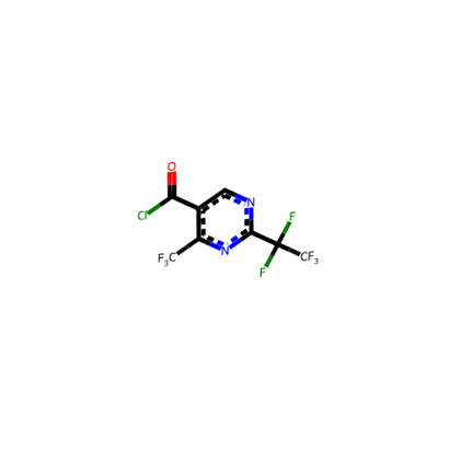 O=C(Cl)c1cnc(C(F)(F)C(F)(F)F)nc1C(F)(F)F